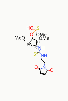 COC[C@H]1C[C@H](NC(=S)NCCN2C(=O)C=CC2=O)[C@@H](OC)C1OP(O)(=S)OC